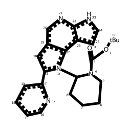 CC(C)(C)OC(=O)N1CCCCC1n1c(-c2ccccn2)cc2cnc3[nH]ccc3c21